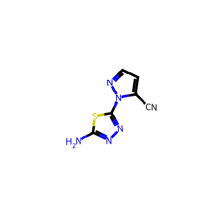 N#Cc1ccnn1-c1nnc(N)s1